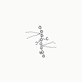 CCCCCCCCCCCCC1(CCCCCCCCCCCC)c2cc(-c3ccccc3)ccc2-c2ccc(-c3cc(/C=C/c4ccncc4)c(-c4ccc5c(c4)C(CCCCCCCCCCCC)(CCCCCCCCCCCC)c4cc(-c6ccc(-c7ccccc7)c7nonc67)ccc4-5)cc3/C=C/c3ccncc3)cc21